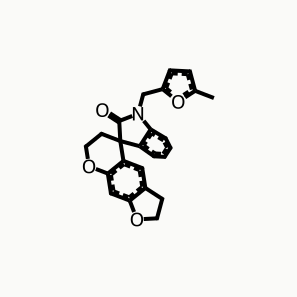 Cc1ccc(CN2C(=O)C3(CCOc4cc5c(cc43)CCO5)c3ccccc32)o1